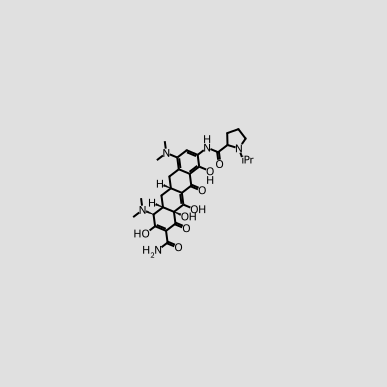 CC(C)N1CCCC1C(=O)Nc1cc(N(C)C)c2c(c1O)C(=O)C1=C(O)[C@]3(O)C(=O)C(C(N)=O)=C(O)[C@@H](N(C)C)[C@@H]3C[C@@H]1C2